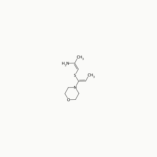 C/C=C(\S/C=C(/C)N)N1CCOCC1